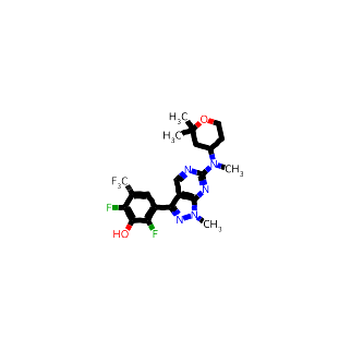 CN(c1ncc2c(-c3cc(C(F)(F)F)c(F)c(O)c3F)nn(C)c2n1)C1CCOC(C)(C)C1